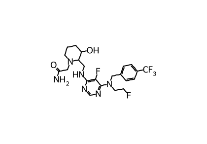 NC(=O)CN1CCCC(O)C1CNc1ncnc(N(CCF)Cc2ccc(C(F)(F)F)cc2)c1F